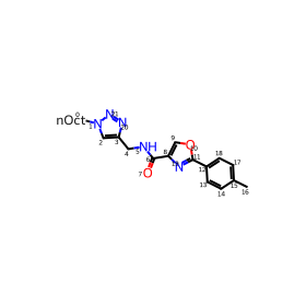 CCCCCCCCn1cc(CNC(=O)c2coc(-c3ccc(C)cc3)n2)nn1